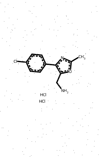 Cc1nc(-c2ccc(Cl)cc2)c(CN)o1.Cl.Cl